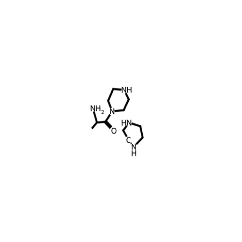 C1CNCCN1.CC(N)C(=O)N1CCNCC1